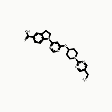 CCc1cnc(N2CCC(Oc3cc(N4CCc5cc(C(=O)O)ccc54)ncn3)CC2)nc1